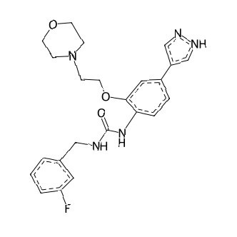 O=C(NCc1cccc(F)c1)Nc1ccc(-c2cn[nH]c2)cc1OCCN1CCOCC1